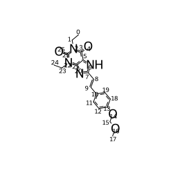 CCn1c(=O)c2[nH]c(C=Cc3ccc(OCOC)cc3)nc2n(CC)c1=O